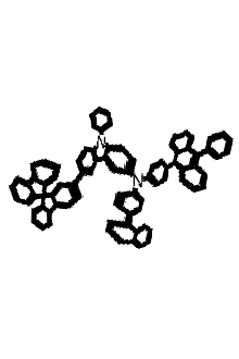 c1ccc(-c2c3ccccc3c(-c3ccc(N(c4ccc(-c5cccc6ccccc56)cc4)c4ccc5c(c4)c4cc(-c6ccc7c(c6)C6(c8ccccc8-c8ccccc86)c6ccccc6-7)ccc4n5-c4ccccc4)cc3)c3ccccc23)cc1